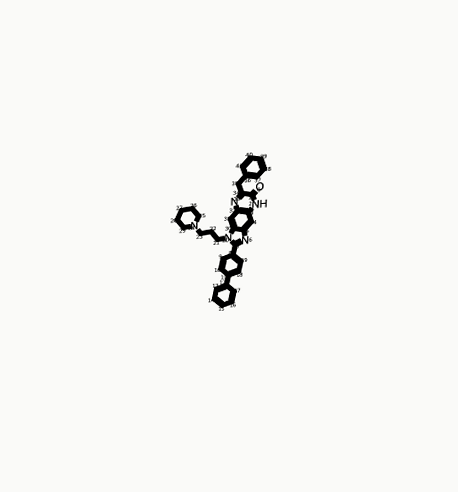 O=c1[nH]c2cc3nc(-c4ccc(-c5ccccc5)cc4)n(CCCN4CCCCC4)c3cc2nc1Cc1ccccc1